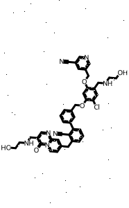 N#Cc1cncc(COc2cc(OCc3cccc(-c4cccc(Cc5ccn6c(=O)c(CNCCO)cnc6c5)c4C#N)c3)c(Cl)cc2CNCCO)c1